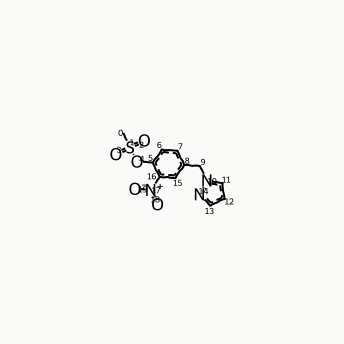 CS(=O)(=O)Oc1ccc(Cn2cccn2)cc1[N+](=O)[O-]